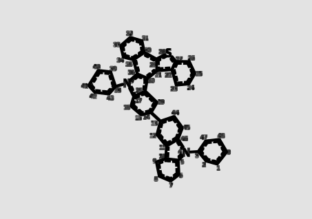 c1ccc(-n2c3ccccc3c3cc(-c4ccc5c(c4)c4c6c7ccccc7sc6c6ccccc6c4n5-c4ccccc4)ccc32)cc1